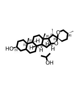 CC(C)O.C[C@@H]1CC[C@@]2(OC1)O[C@H]1C[C@H]3[C@@H]4CCC5C[C@@H](O)CC[C@]5(C)[C@H]4CC[C@]3(C)[C@H]1[C@@H]2C